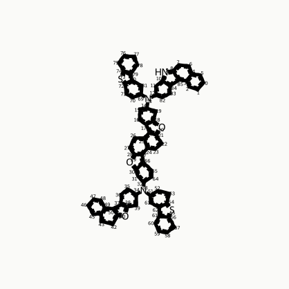 c1ccc2c(c1)ccc1[nH]c3cc(N(c4ccc5c(c4)oc4ccc6c(ccc7oc8cc(N(c9ccc%10c(c9)oc9ccc%11ccccc%11c9%10)c9ccc%10sc%11ccccc%11c%10c9)ccc8c76)c45)c4ccc5sc6ccccc6c5c4)ccc3c12